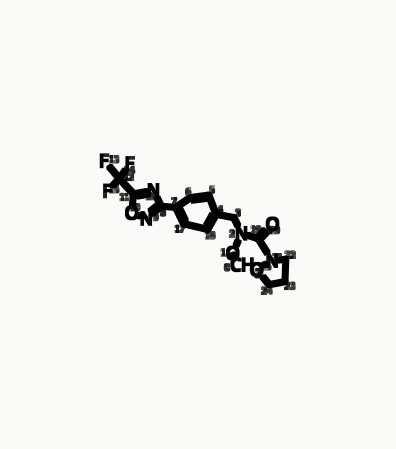 CON(Cc1ccc(-c2noc(C(F)(F)F)n2)cc1)C(=O)N1CCCO1